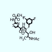 CC(=O)N[C@@H](C)[C@@H](O)[C@H](O)[C@@H](Cc1cc(F)cc(F)c1)NC(=O)c1csc(NS(C)(=O)=O)n1